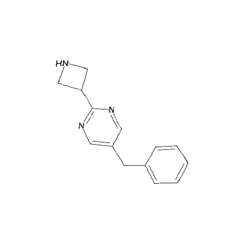 c1ccc(Cc2cnc(C3CNC3)nc2)cc1